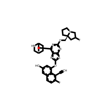 C#Cc1c(F)ccc2cc(O)cc(Oc3nc4c(N5CC6CCC(C5)NC6)nc(OC[C@@]56CCCN5CC(F)C6)nc4s3)c12